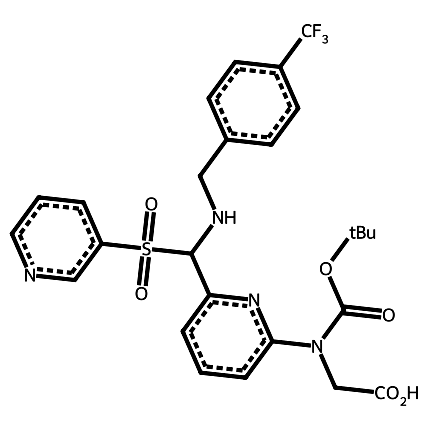 CC(C)(C)OC(=O)N(CC(=O)O)c1cccc(C(NCc2ccc(C(F)(F)F)cc2)S(=O)(=O)c2cccnc2)n1